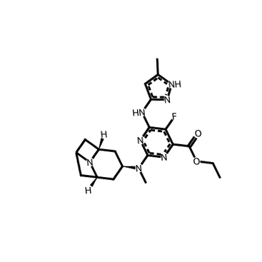 CCOC(=O)c1nc(N(C)[C@@H]2C[C@H]3CC4C[C@@H](C2)N43)nc(Nc2cc(C)[nH]n2)c1F